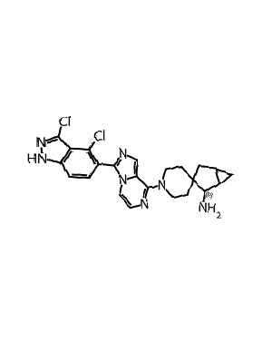 N[C@@H]1C2CC2CC12CCN(c1nccn3c(-c4ccc5[nH]nc(Cl)c5c4Cl)ncc13)CC2